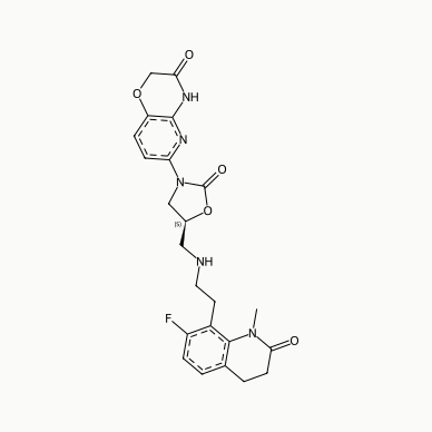 CN1C(=O)CCc2ccc(F)c(CCNC[C@H]3CN(c4ccc5c(n4)NC(=O)CO5)C(=O)O3)c21